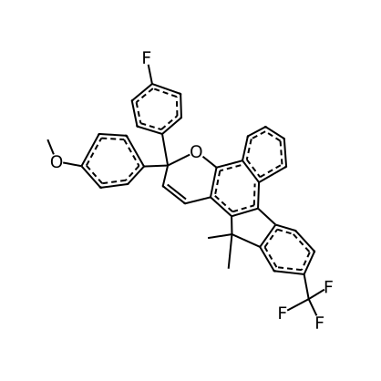 COc1ccc(C2(c3ccc(F)cc3)C=Cc3c4c(c5ccccc5c3O2)-c2ccc(C(F)(F)F)cc2C4(C)C)cc1